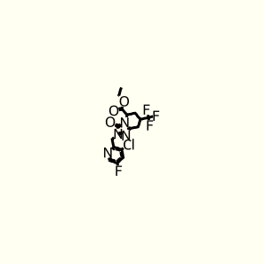 CCOC(=O)C1CC(C(F)(F)F)Cc2nn(Cc3ncc(F)cc3Cl)c(=O)n21